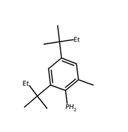 CCC(C)(C)c1cc(C)c(P)c(C(C)(C)CC)c1